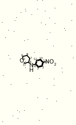 O=[N+]([O-])c1ccc(NC2CCCOC2)cc1